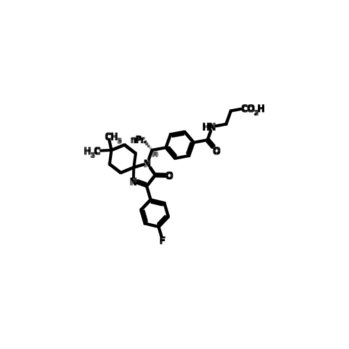 CCC[C@H](c1ccc(C(=O)NCCC(=O)O)cc1)N1C(=O)C(c2ccc(F)cc2)=NC12CCC(C)(C)CC2